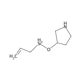 C=CC[SiH2]OC1CCNC1